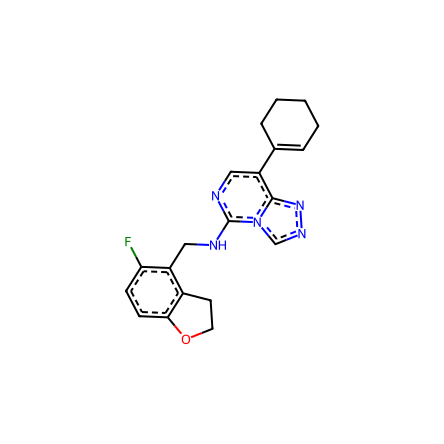 Fc1ccc2c(c1CNc1ncc(C3=CCCCC3)c3nncn13)CCO2